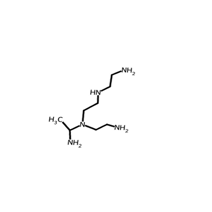 CC(N)N(CCN)CCNCCN